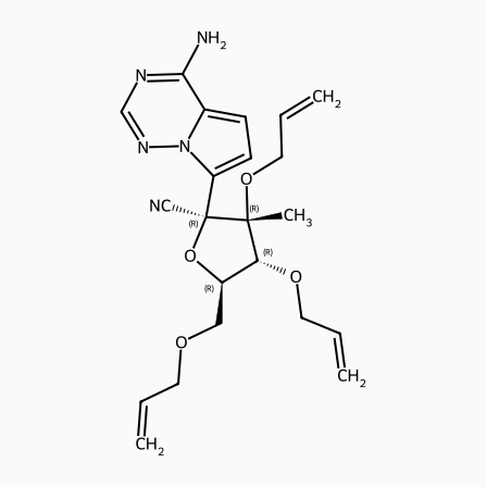 C=CCOC[C@H]1O[C@@](C#N)(c2ccc3c(N)ncnn23)[C@](C)(OCC=C)[C@@H]1OCC=C